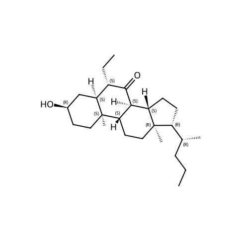 CCC[C@@H](C)[C@H]1CC[C@H]2[C@@H]3C(=O)[C@@H](CC)[C@@H]4C[C@H](O)CC[C@]4(C)[C@H]3CC[C@]12C